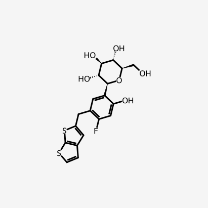 OC[C@H]1O[C@@H](c2cc(Cc3cc4ccsc4s3)c(F)cc2O)[C@H](O)[C@@H](O)[C@@H]1O